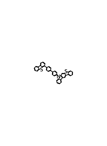 c1ccc2c(c1)sc1cc3c(cc12)c1ccccc1n3-c1ccc(-c2ccc(-c3cccc4c3sc3ccccc34)cc2)cc1